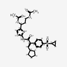 CC(=O)OCCC(OC(C)=O)c1csc(NC(=O)/C(=C/C2CCCC2)c2ccc(S(=O)(=O)C3CC3)cc2)n1